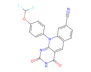 N#Cc1ccc2cc3c(=O)[nH]c(=O)nc-3n(-c3ccc(OC(F)F)cc3)c2c1